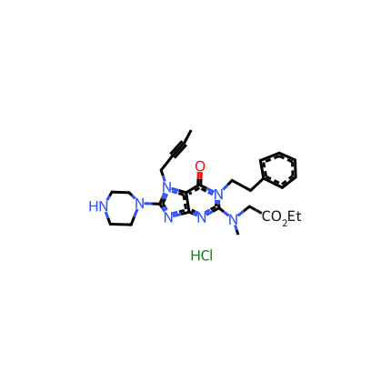 CC#CCn1c(N2CCNCC2)nc2nc(N(C)CC(=O)OCC)n(CCc3ccccc3)c(=O)c21.Cl